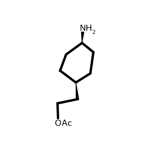 CC(=O)OCC[C@H]1CC[C@@H](N)CC1